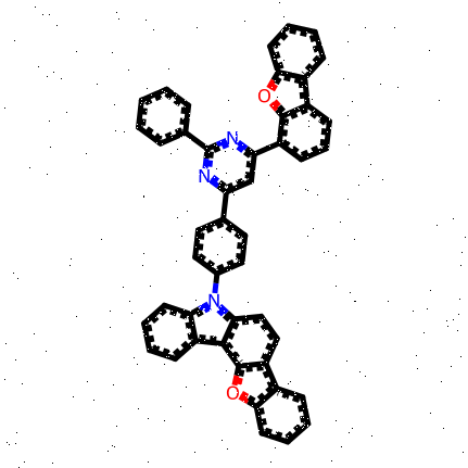 c1ccc(-c2nc(-c3ccc(-n4c5ccccc5c5c6oc7ccccc7c6ccc54)cc3)cc(-c3cccc4c3oc3ccccc34)n2)cc1